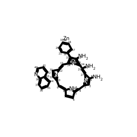 NC1=Cc2cc3ccc(cc4nc(cc5c(-c6ccccc6)c(N)c(c(N)c1n2)n5N)C=C4)[nH]3.[Zn].c1ccc2ncccc2c1